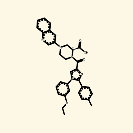 CCOc1cccc(-n2cc(C(=O)N3CCN(c4cnc5ccccc5c4)C[C@H]3C(=O)O)nc2-c2ccc(C)cc2)c1